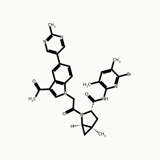 CC(=O)c1cn(CC(=O)N2[C@H](C(=O)Nc3nc(Br)c(C)cc3C)C[C@@]3(C)C[C@@H]23)c2ccc(-c3cnc(C)nc3)cc12